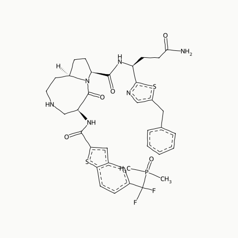 CP(C)(=O)C(F)(F)c1ccc2sc(C(=O)N[C@H]3CNCC[C@H]4CC[C@@H](C(=O)N[C@@H](CCC(N)=O)c5ncc(Cc6ccccc6)s5)N4C3=O)cc2c1